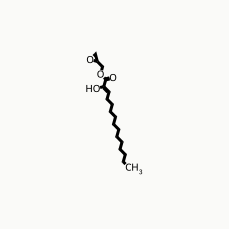 CCCCCCCCCCCCC=C(O)C(=O)OCC1CO1